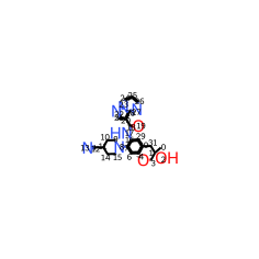 CC1(O)COc2cc(N3CCC(C#N)CC3)c(NC(=O)c3cnn4cccnc34)cc2C1